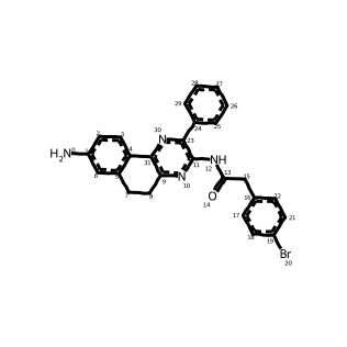 Nc1ccc2c(c1)CCc1nc(NC(=O)Cc3ccc(Br)cc3)c(-c3ccccc3)nc1-2